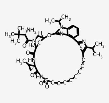 CC(C)c1nc2sc1CCCCCCCCS(=O)(=O)NC(=O)[C@]1(CC1C)NC(=O)[C@@H]1C[C@H](CN1C(=O)[C@@H](N)C(C)(C)C)Oc1nc3c-2cccc3n1C(C)C